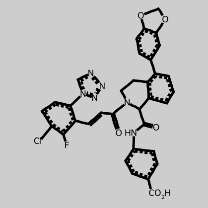 O=C(O)c1ccc(NC(=O)C2c3cccc(-c4ccc5c(c4)OCO5)c3CCN2C(=O)C=Cc2c(-n3cnnn3)ccc(Cl)c2F)cc1